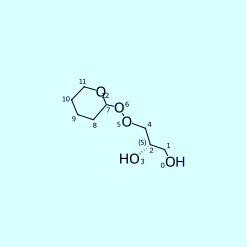 OC[C@H](O)COOC1CCCCO1